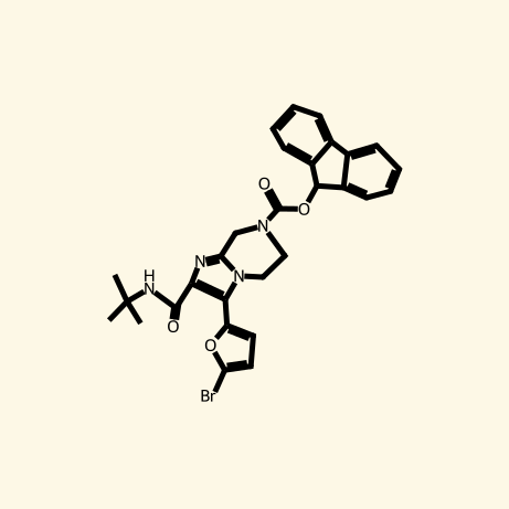 CC(C)(C)NC(=O)c1nc2n(c1-c1ccc(Br)o1)CCN(C(=O)OC1c3ccccc3-c3ccccc31)C2